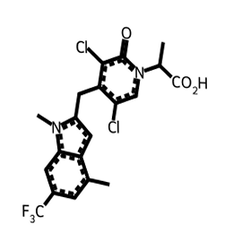 Cc1cc(C(F)(F)F)cc2c1cc(Cc1c(Cl)cn(C(C)C(=O)O)c(=O)c1Cl)n2C